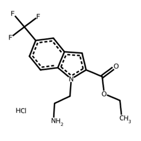 CCOC(=O)c1cc2cc(C(F)(F)F)ccc2n1CCN.Cl